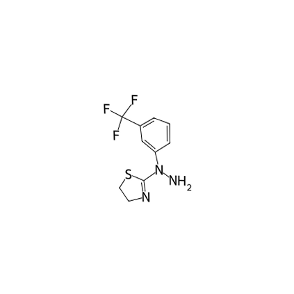 NN(C1=NCCS1)c1cccc(C(F)(F)F)c1